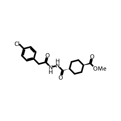 COC(=O)[C@H]1CC[C@H](C(=O)NNC(=O)Cc2ccc(Cl)cc2)CC1